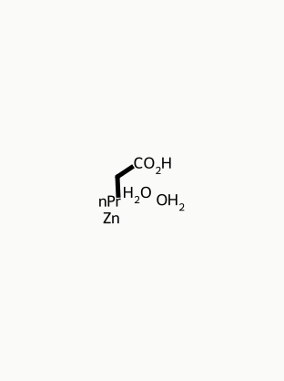 CCCCC(=O)O.O.O.[Zn]